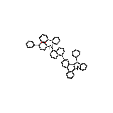 c1ccc(-c2ccc(N(c3ccccc3-c3ccccc3)c3cccc4c(-c5ccc6c7ccccc7c7c(c(-c8ccccc8)c8ccccn87)c6c5)cccc34)cc2)cc1